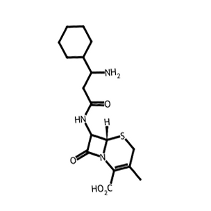 CC1=C(C(=O)O)N2C(=O)C(NC(=O)CC(N)C3CCCCC3)[C@@H]2SC1